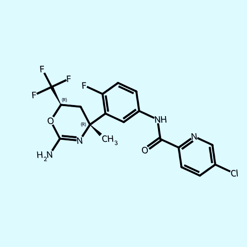 C[C@]1(c2cc(NC(=O)c3ccc(Cl)cn3)ccc2F)C[C@H](C(F)(F)F)OC(N)=N1